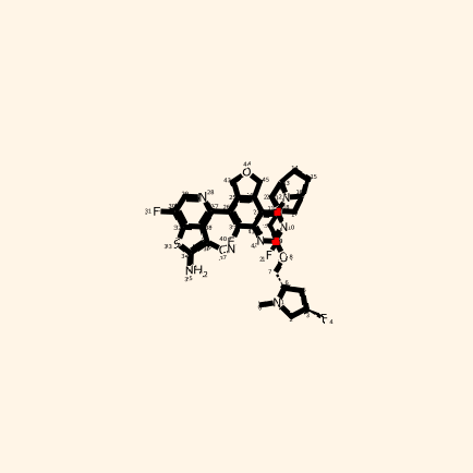 CN1C[C@H](F)C[C@H]1COc1nc(N2C3CCC2CN(CCF)C3)c2c3c(c(-c4ncc(F)c5sc(N)c(C#N)c45)c(F)c2n1)COC3